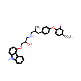 CCOC(=O)c1ccc(Oc2ccc(CC(C)CNCC(O)COc3cccc4[nH]c5ccccc5c34)cc2)c(I)c1